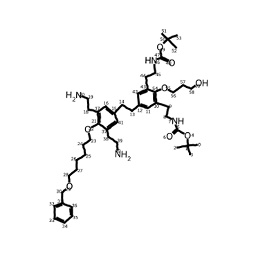 CC(C)(C)OC(=O)NCCc1cc(CCc2cc(CCN)c(OCCCCCCOCc3ccccc3)c(CCN)c2)cc(CCNC(=O)OC(C)(C)C)c1OCCCO